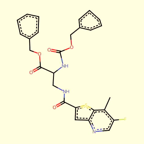 Cc1c(F)cnc2cc(C(=O)NCC(NC(=O)OCc3ccccc3)C(=O)OCc3ccccc3)sc12